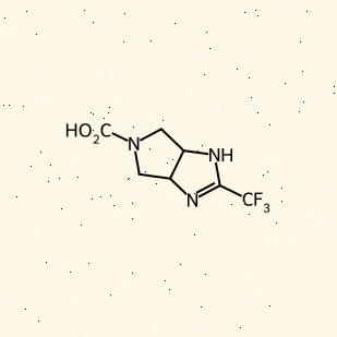 O=C(O)N1CC2N=C(C(F)(F)F)NC2C1